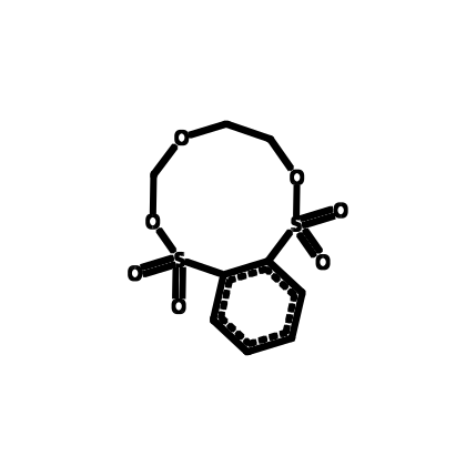 O=S1(=O)OCCOCOS(=O)(=O)c2ccccc21